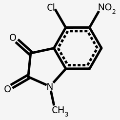 CN1C(=O)C(=O)c2c1ccc([N+](=O)[O-])c2Cl